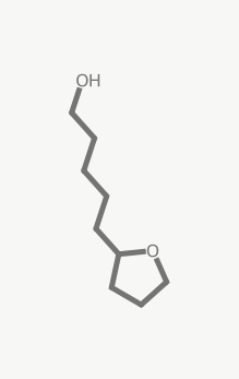 OCCCCCC1CCCO1